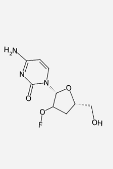 Nc1ccn([C@@H]2O[C@H](CO)CC2OF)c(=O)n1